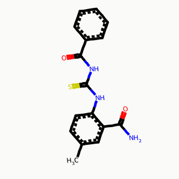 Cc1ccc(NC(=S)NC(=O)c2ccccc2)c(C(N)=O)c1